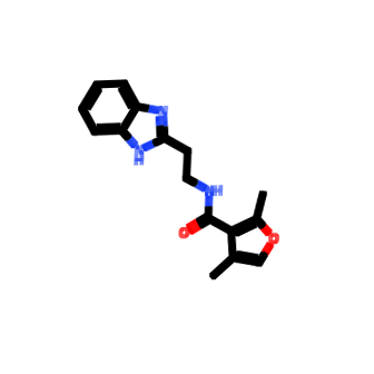 Cc1coc(C)c1C(=O)NCCc1nc2ccccc2[nH]1